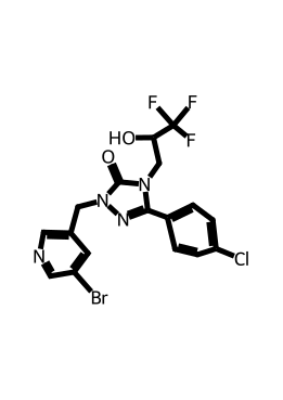 O=c1n(Cc2cncc(Br)c2)nc(-c2ccc(Cl)cc2)n1CC(O)C(F)(F)F